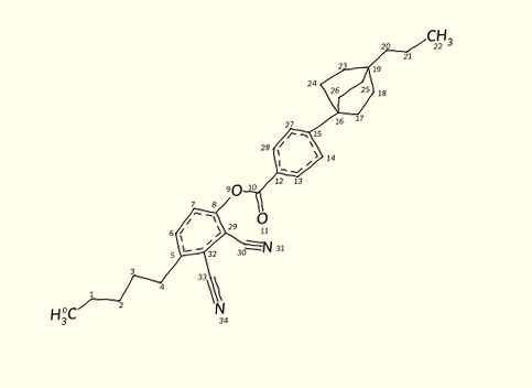 CCCCCc1ccc(OC(=O)c2ccc(C34CCC(CCC)(CC3)CC4)cc2)c(C#N)c1C#N